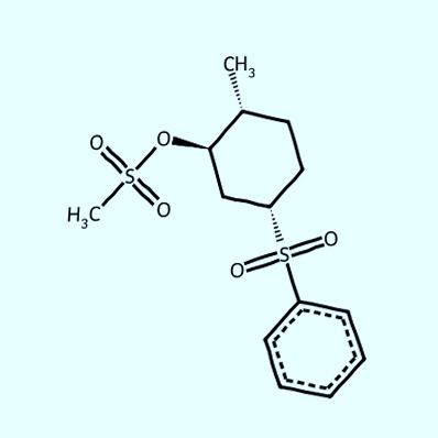 C[C@@H]1CC[C@H](S(=O)(=O)c2ccccc2)C[C@H]1OS(C)(=O)=O